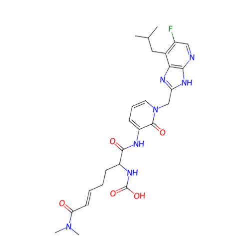 CC(C)Cc1c(F)cnc2[nH]c(Cn3cccc(NC(=O)C(CCC=CC(=O)N(C)C)NC(=O)O)c3=O)nc12